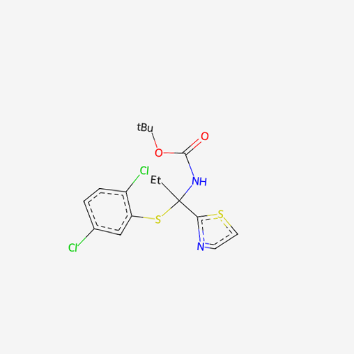 CCC(NC(=O)OC(C)(C)C)(Sc1cc(Cl)ccc1Cl)c1nccs1